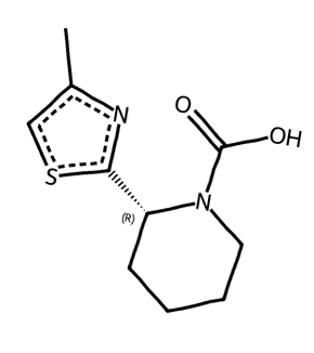 Cc1csc([C@H]2CCCCN2C(=O)O)n1